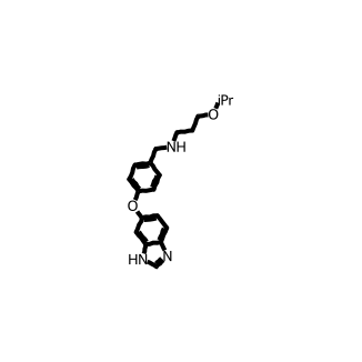 CC(C)OCCCNCc1ccc(Oc2ccc3nc[nH]c3c2)cc1